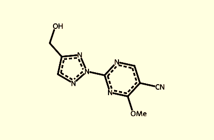 COc1nc(-n2ncc(CO)n2)ncc1C#N